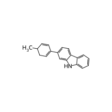 CC1C=CC(c2ccc3c(c2)[nH]c2ccccc23)=CC1